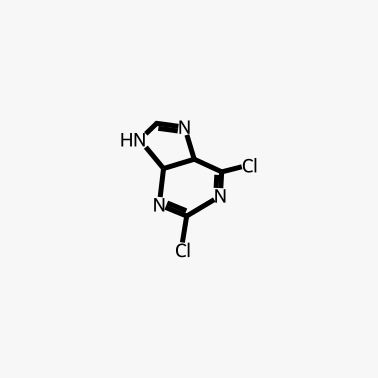 ClC1=NC2NC=NC2C(Cl)=N1